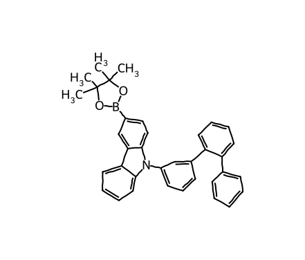 CC1(C)OB(c2ccc3c(c2)c2ccccc2n3-c2cccc(-c3ccccc3-c3ccccc3)c2)OC1(C)C